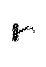 CCCCCCCC1=[N+](Cc2ccccc2F)CCc2cc3c(cc21)OCO3